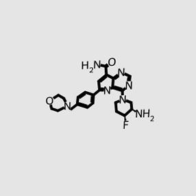 NC(=O)c1cc(-c2ccc(CN3CCOCC3)cc2)nc2c(N3CC[C@H](F)[C@H](N)C3)ncnc12